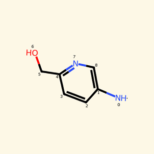 [NH]c1ccc(CO)nc1